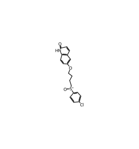 O=c1ccc2cc(OCCCC[S+]([O-])c3ccc(Cl)cc3)ccc2[nH]1